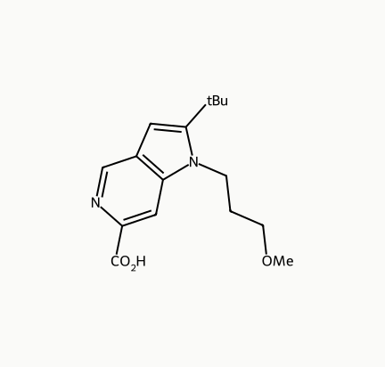 COCCCn1c(C(C)(C)C)cc2cnc(C(=O)O)cc21